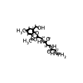 COc1cc(C)cc(CO)c1OC(=O)CNC(=O)CNC(=O)CNP